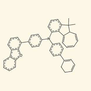 CC1(C)c2cccc(N(c3ccc(C4=CC=CCC4)cc3)c3ccc(-c4cccc5c4oc4ccccc45)cc3)c2C2=CC=CC=CC21